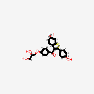 O=C(c1ccc(OCC(O)CO)cc1)c1c(-c2ccc(O)cc2)sc2cc(O)ccc12